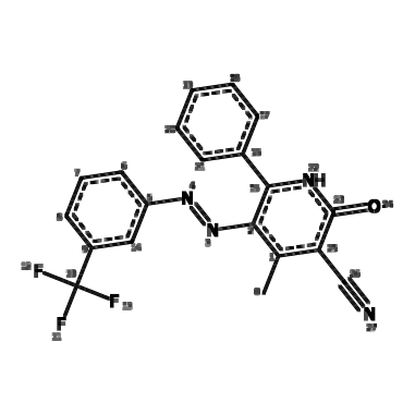 Cc1c(N=Nc2cccc(C(F)(F)F)c2)c(-c2ccccc2)[nH]c(=O)c1C#N